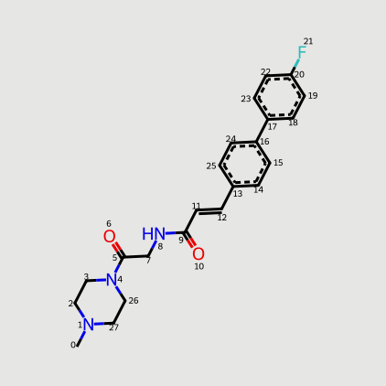 CN1CCN(C(=O)CNC(=O)/C=C/c2ccc(-c3ccc(F)cc3)cc2)CC1